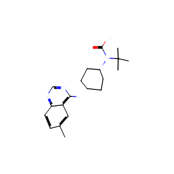 Cc1ccc2ncnc(N[C@H]3CC[C@H](N(C(=O)O)C(C)(C)C)CC3)c2c1